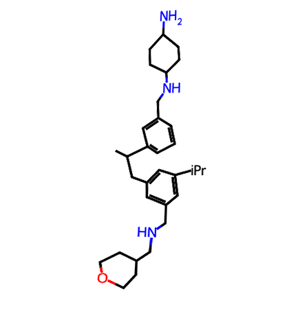 CC(C)c1cc(CNCC2CCOCC2)cc(CC(C)c2cccc(CNC3CCC(N)CC3)c2)c1